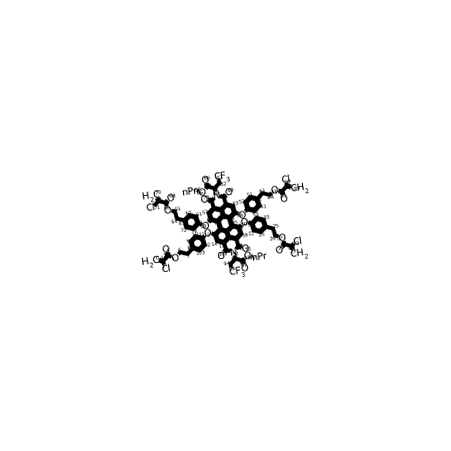 C=C(Cl)C(=O)OCCc1ccc(Oc2cc3c4c(cc(Oc5ccc(CCOC(=O)C(=C)Cl)cc5)c5c6c(Oc7ccc(CCOC(=O)C(=C)Cl)cc7)cc7c8c(cc(Oc9ccc(CCOC(=O)C(=C)Cl)cc9)c(c2c45)c86)C(=O)N(C(CC(F)(F)F)C(=O)OCCC)C7=O)C(=O)N(C(CC(F)(F)F)C(=O)OCCC)C3=O)cc1